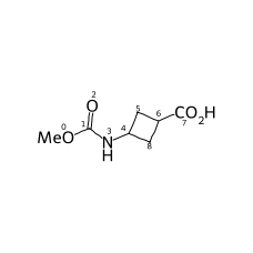 COC(=O)NC1CC(C(=O)O)C1